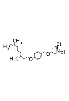 CCN1CC(OCc2ccc(OCC=C(C)CCC=C(C)C)cc2)CN1CC